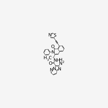 C[C@@H](NC(=O)c1c(N)nc2cccnn12)c1cc2cccc(C#Cc3cncs3)c2c(=O)n1-c1ccccc1